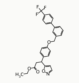 CCOC(=O)CC(c1ccc(OCc2cccc(-c3ccc(C(F)(F)F)cc3)c2)cc1)c1ccno1